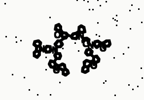 c1cc(-c2cccc3oc4c5ccccc5ccc4c23)cc(N(c2ccc(-c3cc(-c4ccc5c(c4)c4ccccc4n5-c4ccc(N(c5cccc(-c6cccc7oc8c9ccccc9ccc8c67)c5)c5ccc6c(c5)oc5ccccc56)cc4)cc4c3oc3ccccc34)cc2)c2ccc(-n3c4ccccc4c4ccccc43)cc2)c1